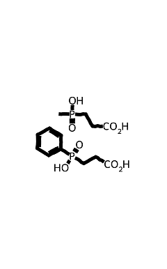 CP(=O)(O)CCC(=O)O.O=C(O)CCP(=O)(O)c1ccccc1